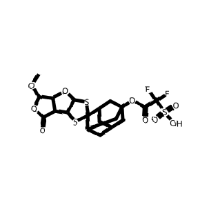 COC1OC(=O)C2C1OC1SC3(SC12)C1CC2CC3CC(OC(=O)C(F)(F)S(=O)(=O)O)(C2)C1